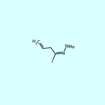 C=CC/C(I)=N\NC